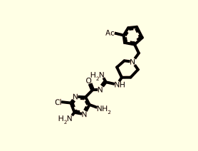 CC(=O)c1cccc(CN2CCC(N/C(N)=N/C(=O)c3nc(Cl)c(N)nc3N)CC2)c1